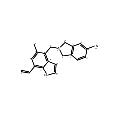 C=Cc1cc(C)c(CN2Cc3ccc(C#N)cc3C2)c2cc[nH]c12